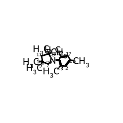 Cc1cc(C)c(N2[C]C(C)(C)CC2(C)C)c(C)c1